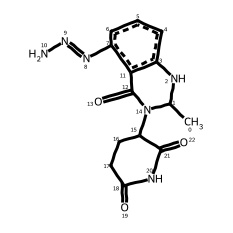 CC1Nc2cccc(N=NN)c2C(=O)N1C1CCC(=O)NC1=O